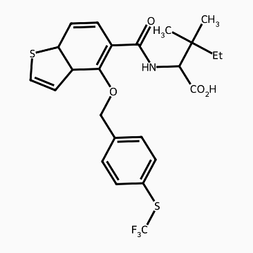 CCC(C)(C)C(NC(=O)C1=C(OCc2ccc(SC(F)(F)F)cc2)C2C=CSC2C=C1)C(=O)O